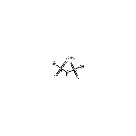 O=S(=O)(O)NS(=O)(=O)O.[CaH2]